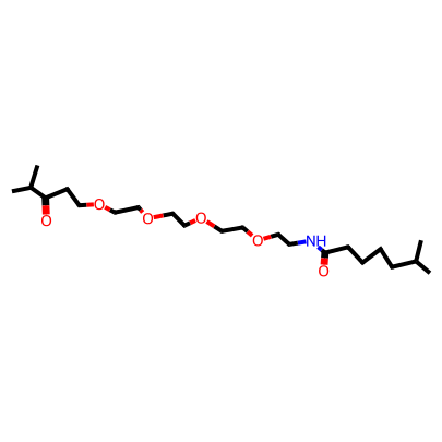 CC(C)CCCCC(=O)NCCOCCOCCOCCOCCC(=O)C(C)C